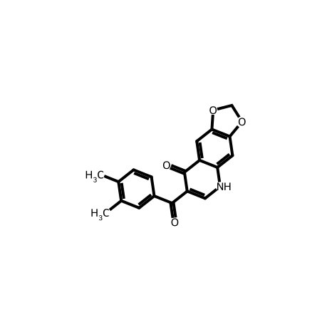 Cc1ccc(C(=O)c2c[nH]c3cc4c(cc3c2=O)OCO4)cc1C